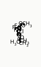 COC(=O)c1cc(Cl)c(CC2=CCN(C(=O)OC(C)(C)C)CC2)c(C(F)(F)F)c1